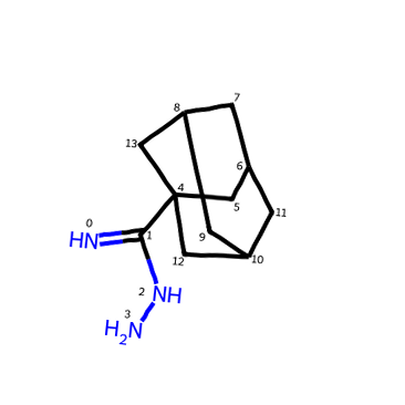 N=C(NN)C12CC3CC(CC(C3)C1)C2